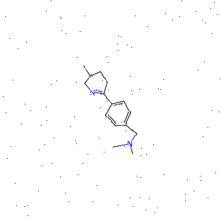 CC1CCC(c2ccc(CN(C)C)cc2)=NC1